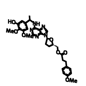 COc1ccc(CCC(=O)OC[C@@H]2CC[C@H](n3cnc4c(NC(C)c5cc(O)c(OC)c(OC)c5)ncnc43)O2)cc1